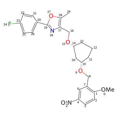 COc1ccc([N+](=O)[O-])cc1CO[C@H]1CCC[C@@H](OCc2nc(-c3ccc(F)cc3)oc2C)C1